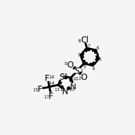 O=S(=O)(c1cccc(Cl)c1)c1nnc(C(F)(F)F)s1